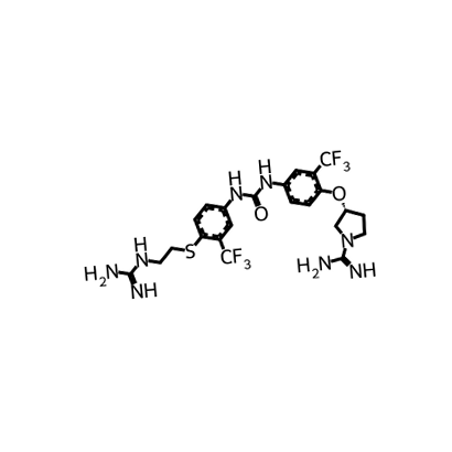 N=C(N)NCCSc1ccc(NC(=O)Nc2ccc(O[C@@H]3CCN(C(=N)N)C3)c(C(F)(F)F)c2)cc1C(F)(F)F